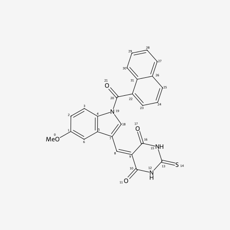 COc1ccc2c(c1)c(C=C1C(=O)NC(=S)NC1=O)cn2C(=O)c1cccc2ccccc12